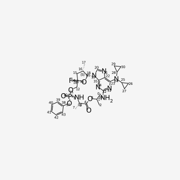 CC(C)OC(=O)[C@H](C)NP(=O)(OC[C@]1(F)C[C@H](C)[C@H](n2cnc3c(N(C4CC4)C4CC4)nc(N)nc32)O1)Oc1ccccc1